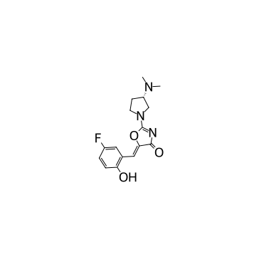 CN(C)[C@H]1CCN(C2=NC(=O)/C(=C/c3cc(F)ccc3O)O2)C1